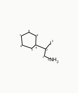 NCC(I)C1CCCCC1